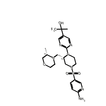 C[C@H]1COCCN1C[C@H]1CN(S(=O)(=O)c2ccc(N)nc2)CCN1c1ncc(C(C)(O)C(F)(F)F)cn1